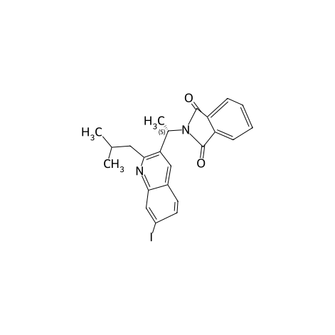 CC(C)Cc1nc2cc(I)ccc2cc1[C@H](C)N1C(=O)c2ccccc2C1=O